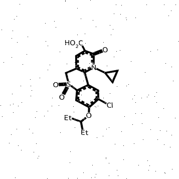 CCC(CC)Oc1cc2c(cc1Cl)-c1c(cc(C(=O)O)c(=O)n1C1CC1)CS2(=O)=O